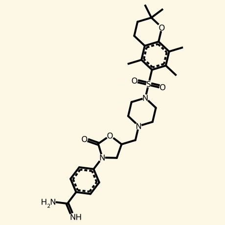 Cc1c(C)c(S(=O)(=O)N2CCN(CC3CN(c4ccc(C(=N)N)cc4)C(=O)O3)CC2)c(C)c2c1OC(C)(C)CC2